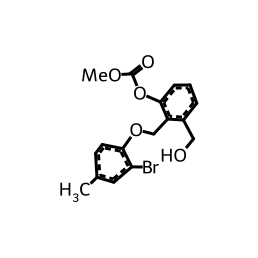 COC(=O)Oc1cccc(CO)c1COc1ccc(C)cc1Br